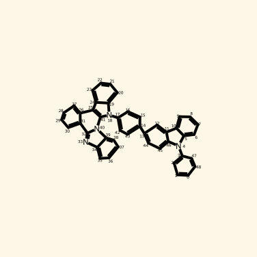 c1ccc(-n2c3ccccc3c3cc(-c4ccc(-n5c6ccccc6c6c7ccccc7c7nc8ccccc8n7c65)cc4)ccc32)cc1